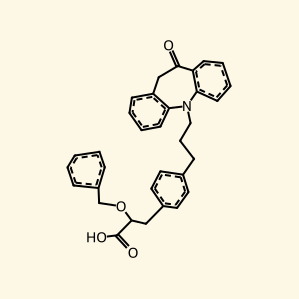 O=C1Cc2ccccc2N(CCCc2ccc(CC(OCc3ccccc3)C(=O)O)cc2)c2ccccc21